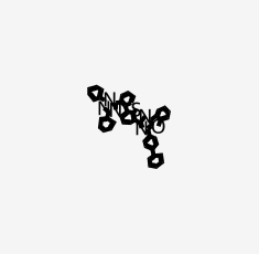 c1ccc(-c2ccc(-c3nc(-c4cccc5c4sc4cccc(-c6nc(-c7ccccc7)nc(-c7ccccc7)n6)c45)nc4c3oc3ccccc34)cc2)cc1